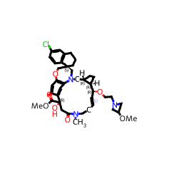 COC(=O)[C@@]1(O)CC(=O)N(C)CC/C=C/[C@H](OCCN2CC(OC)C2)[C@@H]2CC[C@H]2CN2C[C@@]3(CCCc4cc(Cl)ccc43)COc3ccc1cc32